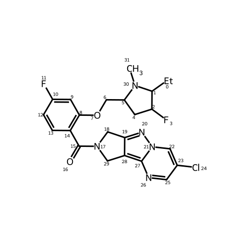 CCC1C(F)CC(COc2cc(F)ccc2C(=O)N2Cc3nn4cc(Cl)cnc4c3C2)N1C